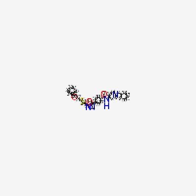 O=C(NC1CCN(Cc2ccccc2)CC1)c1ccc(-c2nnc(CSCCOc3ccccc3)o2)cc1